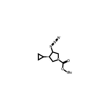 CC(C)(C)OC(=O)N1CC(N=[N+]=[N-])[C@H](C2CC2)C1